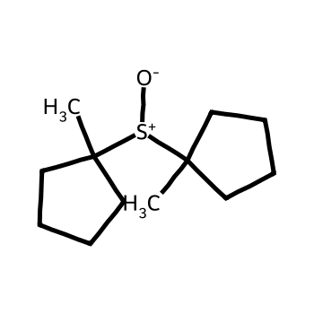 CC1([S+]([O-])C2(C)CCCC2)CCCC1